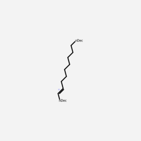 CCCCCCCCCC/C=C/CCCCCCCCCCCCCCCCC